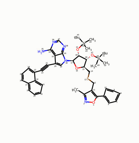 Cc1noc(-c2ccccc2)c1CSC[C@H]1O[C@@H](n2cc(C#Cc3cccc4ccccc34)c3c(N)ncnc32)[C@H](O[Si](C)(C)C(C)(C)C)[C@@H]1O[Si](C)(C)C(C)(C)C